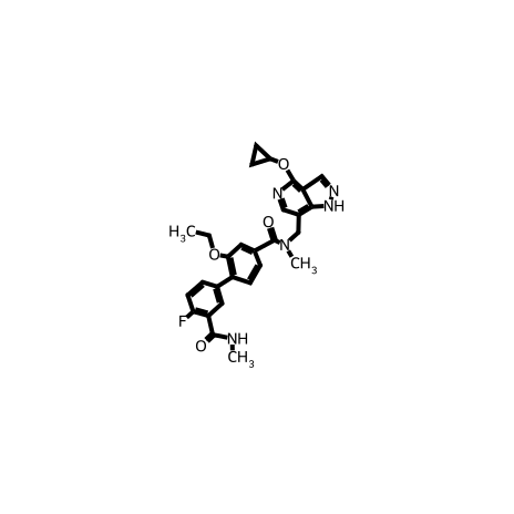 CCOc1cc(C(=O)N(C)Cc2cnc(OC3CC3)c3cn[nH]c23)ccc1-c1ccc(F)c(C(=O)NC)c1